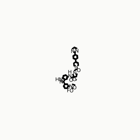 CO[C@@]1(C(=O)Nc2ccc3[nH]nc(-c4ccc(F)c(N5CCOC5=O)c4)c3c2)CCN(CC(=O)N2CC=C(c3ccc(-c4ncccn4)cc3)CC2)C1